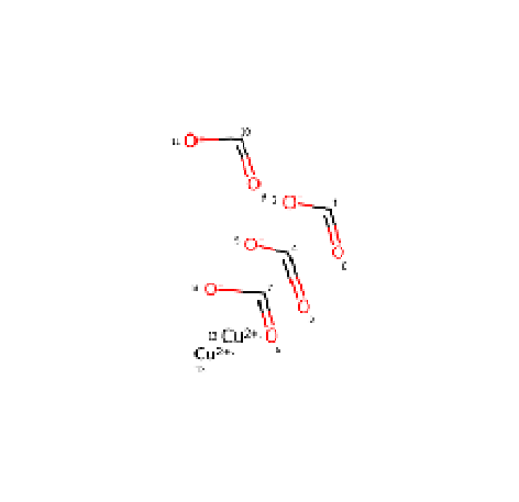 O=C[O-].O=C[O-].O=C[O-].O=C[O-].[Cu+2].[Cu+2]